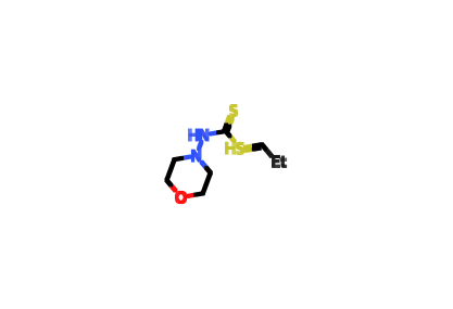 CCC=[SH]C(=S)NN1CCOCC1